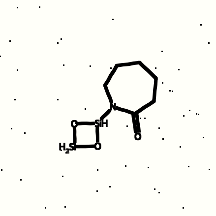 O=C1CCCCCN1[SiH]1O[SiH2]O1